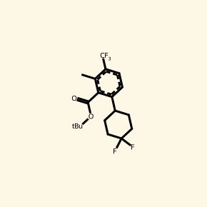 Cc1c(C(F)(F)F)ccc(C2CCC(F)(F)CC2)c1C(=O)OC(C)(C)C